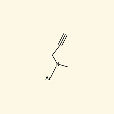 [C]#CCN(C)C(C)=O